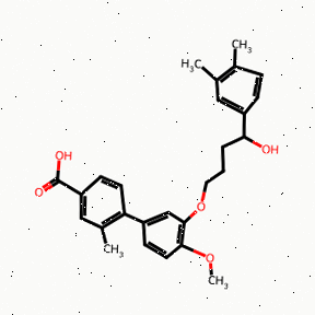 COc1ccc(-c2ccc(C(=O)O)cc2C)cc1OCCCC(O)c1ccc(C)c(C)c1